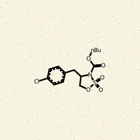 CCCCOC(=O)N1C(Cc2ccc(Cl)cc2)COS1(=O)=O